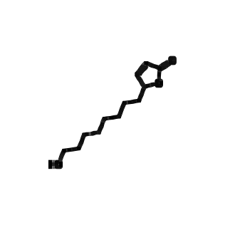 O=C1C=CC(CCCCCCCCO)O1